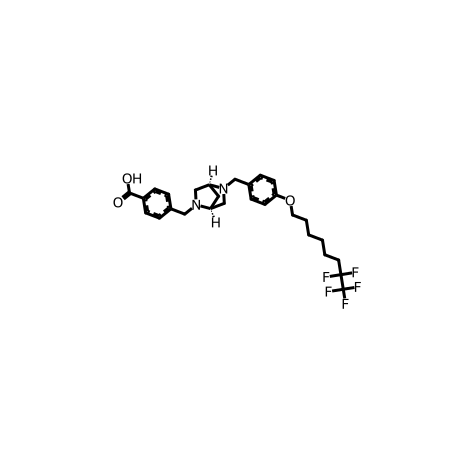 O=C(O)c1ccc(CN2C[C@@H]3C[C@H]2CN3Cc2ccc(OCCCCCCC(F)(F)C(F)(F)F)cc2)cc1